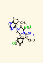 C[C@@H]1CCc2ncnc(N3CCN(C(N)C(C=O)c4ccc(Cl)cc4)CC3)c21.Cl.Cl